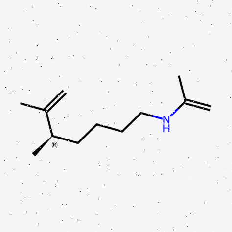 C=C(C)NCCCC[C@@H](C)C(=C)C